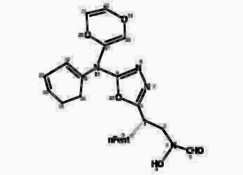 CCCCC[C@@H](CN(O)C=O)c1nnc(N(C2=CC=CCC2)C2=COC=CO2)o1